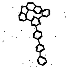 c1ccc(-c2ccc(-c3ccc(-c4nc(-c5ccccc5)nc(-c5cccc6oc7ccc8ccccc8c7c56)n4)cc3)cc2)cc1